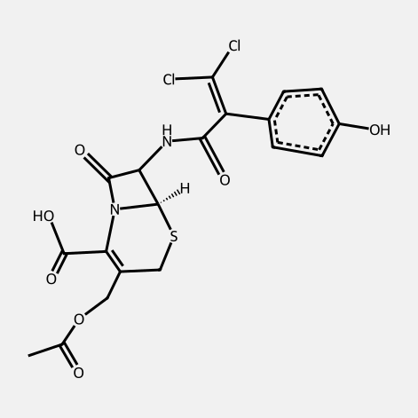 CC(=O)OCC1=C(C(=O)O)N2C(=O)C(NC(=O)C(=C(Cl)Cl)c3ccc(O)cc3)[C@H]2SC1